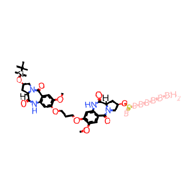 B#S(=BB=BB=BB)O[C@@H]1C[C@H]2C(=O)Nc3cc(OCCCOc4cc5c(cc4OC)C(=O)N4C[C@H](O[Si](C)(C)C(C)(C)C)C[C@H]4C(=O)N5)c(OC)cc3C(=O)N2C1